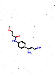 COCCC(=O)Nc1ccc(/C(N)=C/C=N)cc1